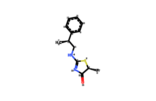 CC(C)[C@@H]1SC(NC[C@@H](C)c2ccccc2)=NC1=O